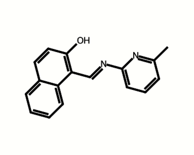 Cc1cccc(/N=C/c2c(O)ccc3ccccc23)n1